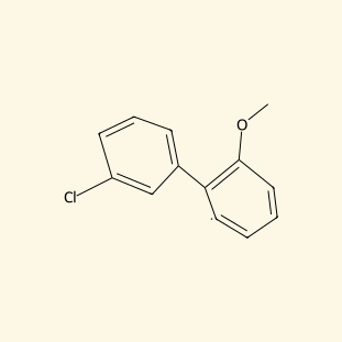 COc1ccc[c]c1-c1cccc(Cl)c1